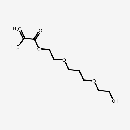 C=C(C)C(=O)OCCOCCCOCCO